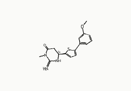 COc1cccc(-c2ccc([C@@H]3CC(=O)N(C)C(=N)N3)s2)c1